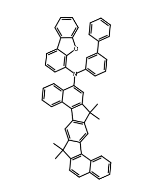 CC1(C)c2cc3c(cc2-c2c1ccc1ccccc21)C(C)(C)c1cc(N(c2cccc(-c4ccccc4)c2)c2cccc4c2oc2ccccc24)c2ccccc2c1-3